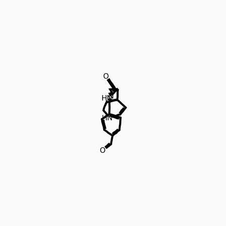 O=Cc1ccc(C2=NC=CC=C3C(=O)NC4CNC=CC324)cc1